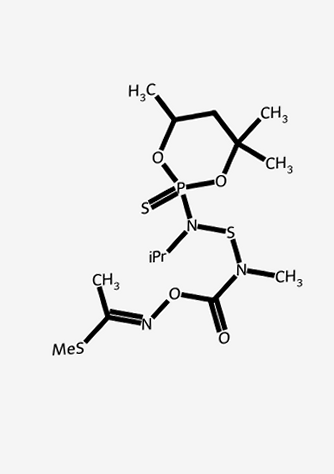 CSC(C)=NOC(=O)N(C)SN(C(C)C)P1(=S)OC(C)CC(C)(C)O1